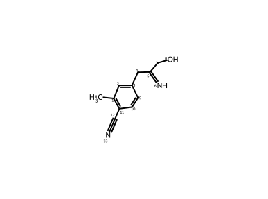 Cc1cc(CC(=N)CO)ccc1C#N